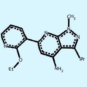 CCOc1ncccc1-c1cc(N)c2c(C(C)C)nn(C)c2n1